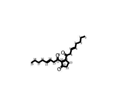 CCCCC=CCC(=O)C1=C(C(=O)CC=CCCCC)C(=O)CC1